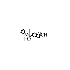 Cc1ccc2cc(C(=O)NNc3ccccc3)ccc2n1